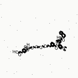 CCN(CC)c1ccc(NC(=O)c2cccc(CCCOCCOCCOCCOCCNS(=O)(=O)c3ccc(CCC(=O)O)cc3)c2)c(-c2cc(C(=O)N[C@H]3CCCc4ccccc43)ccn2)c1